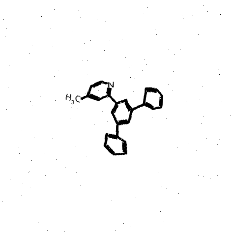 Cc1ccnc(-c2cc(-c3ccccc3)cc(-c3ccccc3)c2)c1